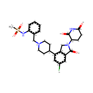 CS(=O)(=O)Nc1ccccc1CN1CCC(c2cc(F)cc3c2CN(C2CCC(=O)NC2=O)C3=O)CC1